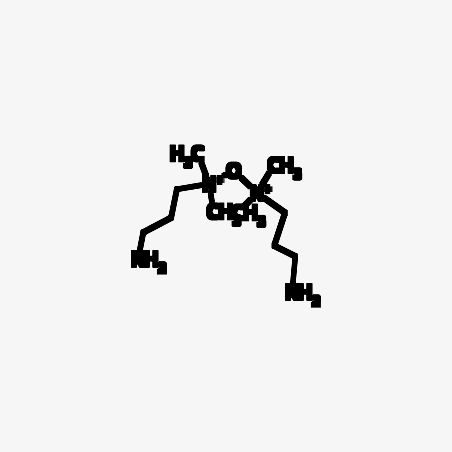 C[N+](C)(CCCN)O[N+](C)(C)CCCN